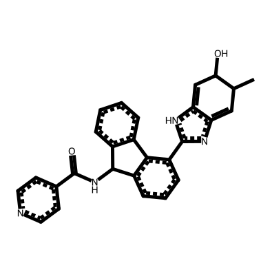 CC1C=c2nc(-c3cccc4c3-c3ccccc3C4NC(=O)c3ccncc3)[nH]c2=CC1O